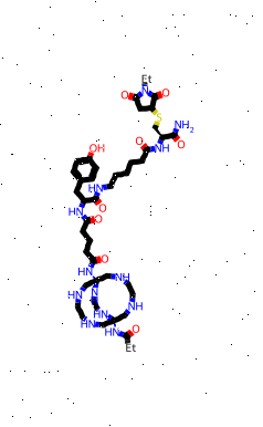 CCC(=O)N[C@]12CNCCNC[C@](NC(=O)CCCC(=O)NC(Cc3ccc(O)cc3)C(=O)NCCCCCC(=O)N[C@@H](CSC3CC(=O)N(CC)C3=O)C(N)=O)(CNCCNC1)NCCN2